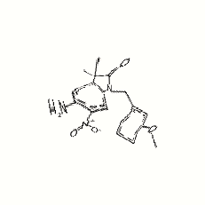 COc1cccc(CN2C(=O)C(C)(C)c3cc(N)c([N+](=O)[O-])cc32)c1